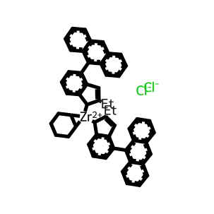 CCC1=Cc2c(-c3c4ccccc4cc4ccccc34)cccc2[CH]1[Zr+2]1([CH]2C(CC)=Cc3c(-c4c5ccccc5cc5ccccc45)cccc32)[CH]2CCCC[CH]21.[Cl-].[Cl-]